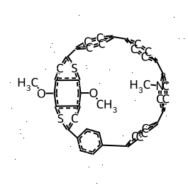 COc1c2cc3sc2c(OC)c2cc(sc12)-c1ccc(cc1)-c1ccc(cc1)-c1ccc([n+](C)c1)-c1ccc(cc1)-c1ccc-3cc1